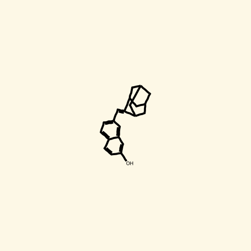 Oc1ccc2ccc(C=C3C4CC5CC(C4)CC3C5)cc2c1